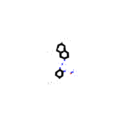 CNc1ccc(N=Nc2ccc3cc(C)cc(C)c3c2)c(NC(N)=O)c1